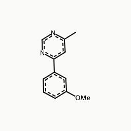 COc1cccc(-c2cc(C)ncn2)c1